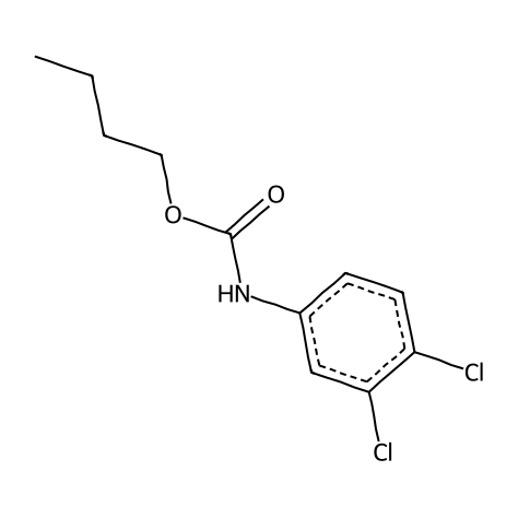 CCCCOC(=O)Nc1ccc(Cl)c(Cl)c1